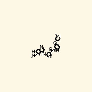 CNCc1ccc2nccc(Nc3cncc(C(=O)Nc4cccc(Oc5ccnc(C)c5)c4)c3)c2c1